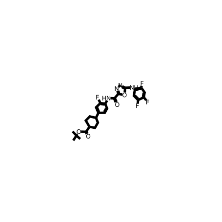 CC(C)(C)OC(=O)C1CCC(c2ccc(NC(=O)c3nnc(Nc4cc(F)c(F)cc4F)o3)c(F)c2)CC1